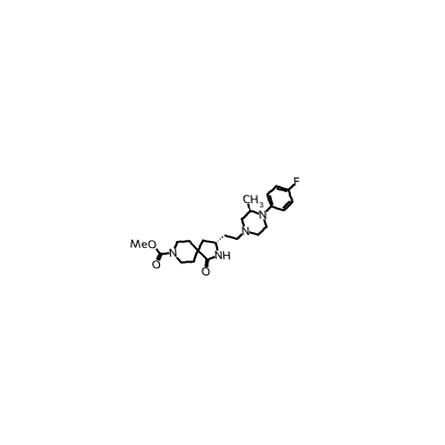 COC(=O)N1CCC2(CC1)C[C@H](CCN1CCN(c3ccc(F)cc3)[C@H](C)C1)NC2=O